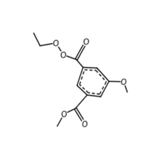 CCOOC(=O)c1cc(OC)cc(C(=O)OC)c1